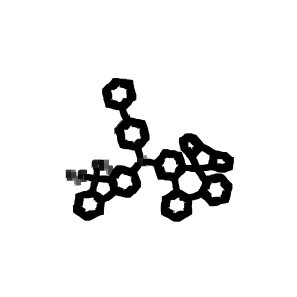 CC1(C)c2ccccc2-c2ccc(N(c3ccc(-c4ccccc4)cc3)c3ccc4c(c3)-c3ccccc3-c3ccccc3C43c4ccccc4-c4ccccc43)cc21